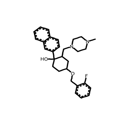 CN1CCN(CC2CC(OCc3ccccc3F)CCC2(O)c2ccc3ccccc3c2)CC1